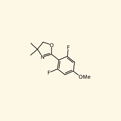 COc1cc(F)c(C2=NC(C)(C)CO2)c(F)c1